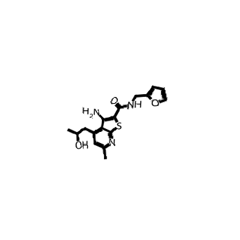 Cc1cc(CC(C)O)c2c(N)c(C(=O)NCc3ccco3)sc2n1